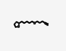 N#CCCCOCCCCCC1CCCO1